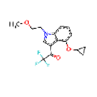 COCCn1cc(C(=O)C(F)(F)F)c2c(OC3CC3)cccc21